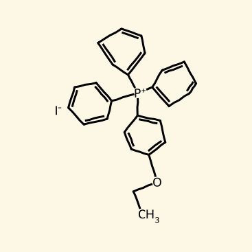 CCOc1ccc([P+](c2ccccc2)(c2ccccc2)c2ccccc2)cc1.[I-]